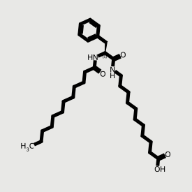 CCCCCCCCCCCC(=O)N[C@@H](Cc1ccccc1)C(=O)NCCCCCCCCCCC(=O)O